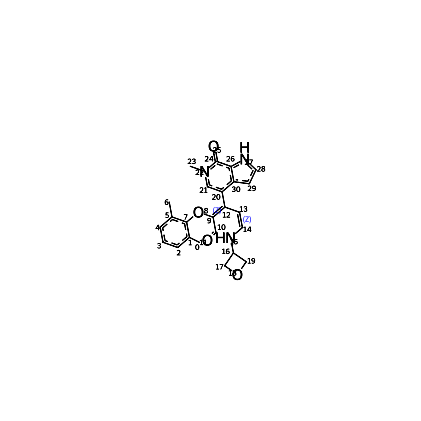 Cc1cccc(C)c1O/C(C=O)=C(/C=C\NC1COC1)c1cn(C)c(=O)c2[nH]ccc12